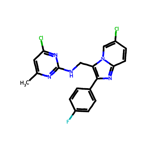 Cc1cc(Cl)nc(NCc2c(-c3ccc(F)cc3)nc3ccc(Cl)cn23)n1